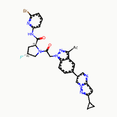 CC(=O)c1nn(CC(=O)N2C[C@H](F)C[C@H]2C(=O)Nc2cccc(Br)n2)c2ccc(-c3cnc4cc(C5CC5)nn4c3)cc12